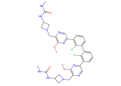 CNC(=O)NC1CN(Cc2ncc(-c3cccc(-c4cccc(-c5cnc(CN6CC(NC(=O)NC)C6)c(OC)n5)c4Cl)c3Cl)nc2OC)C1